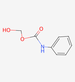 O=C(Nc1ccccc1)OCO